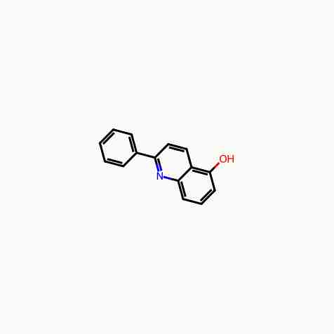 Oc1cccc2nc(-c3ccccc3)ccc12